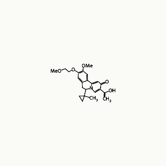 C=C(O)c1cn2c(cc1=O)-c1cc(OC)c(OCCOC)cc1CC2C1(C)CC1